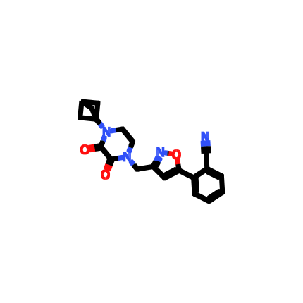 N#Cc1ccccc1-c1cc(CN2CCN(C34CC(C3)C4)C(=O)C2=O)no1